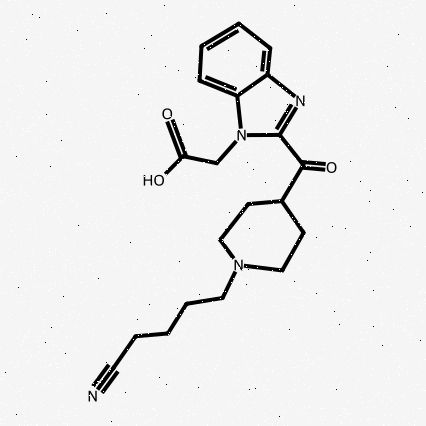 N#CCCCCN1CCC(C(=O)c2nc3ccccc3n2CC(=O)O)CC1